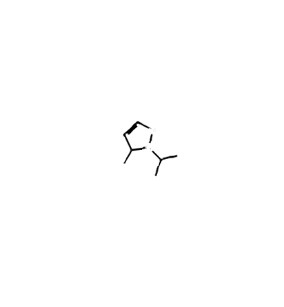 CC(C)N1NC=CC1Cl